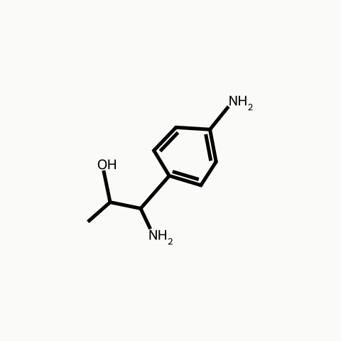 CC(O)C(N)c1ccc(N)cc1